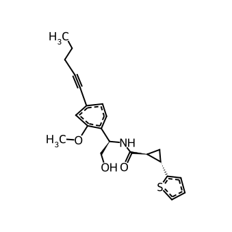 CCCC#Cc1ccc([C@H](CO)NC(=O)[C@H]2C[C@@H]2c2cccs2)c(OC)c1